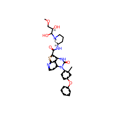 COC[C@@H](O)C(O)N1CCC[C@@H](NC(=O)c2sc3nccc4c3c2NC(=O)N4c2ccc(Oc3ccccc3)cc2C)C1